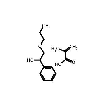 C=C(C)C(=O)O.OCCOCC(O)c1ccccc1